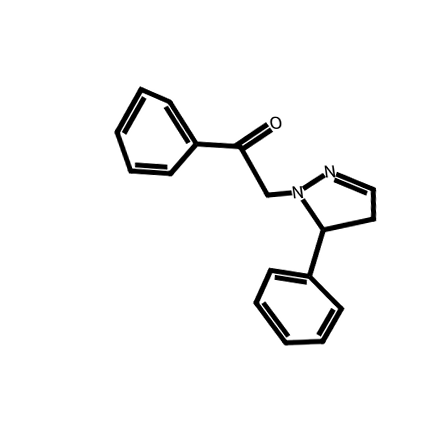 O=C(CN1N=CCC1c1ccccc1)c1ccccc1